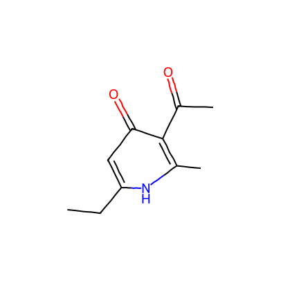 CCc1cc(=O)c(C(C)=O)c(C)[nH]1